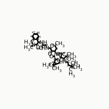 CCCC(NC(=O)[C@@H]1C2C(CN1C(=O)C(NCCC(C)(C)C)C(C)(C)C)C2(C)C)C(=O)C(=O)NCC(=O)NC(C(=O)N(C)C)c1ccccc1